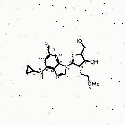 COCC[C@H]1C(O)C(CO)OC1n1cnc2c(NC3CC3)nc(N)nc21